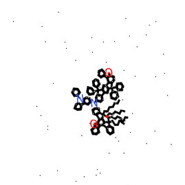 CCCCCCCC1(CCCCCCC)c2cc(N(c3ccc4c(c3)C(c3ccccc3)(c3ccccc3)c3cc5c(cc3-4)C(c3ccccc3)(c3ccccc3)c3ccc4oc6ccccc6c4c3-5)c3ccc4c(c3)c3ccccc3n4-c3ccccc3)ccc2-c2c1c1c(c3c2oc2ccccc23)-c2ccccc2C1(CCCCCCC)CCCCCCC